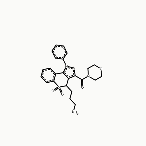 NCCCC1c2c(C(=O)N3CCOCC3)nn(-c3ccccc3)c2-c2ccccc2S1(=O)=O